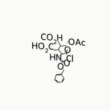 CC(=O)OC[C@@H]1OC(Cl)C(NC(=O)OCc2ccccc2)C(CC(=O)O)C1CC(=O)O